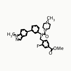 COC(=O)c1ccc(CN(C(=O)N2CCN(C)CC2)c2cccc(-c3ccc4c(cnn4C)c3)c2)c(F)c1